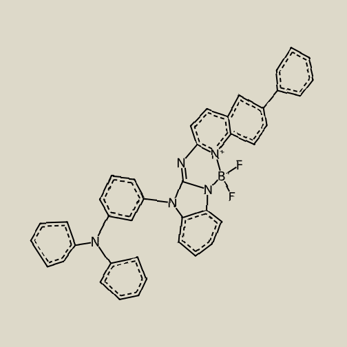 F[B-]1(F)N2C(=Nc3ccc4cc(-c5ccccc5)ccc4[n+]31)N(c1cccc(N(c3ccccc3)c3ccccc3)c1)c1ccccc12